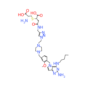 CCCCCNc1nc(N)nc2ccn(Cc3ccc(CN4CCN(CCn5cc(CNC(=O)C[C@@H](SC[C@H](N)C(=O)O)C(=O)O)nn5)CC4)cc3OC)c12